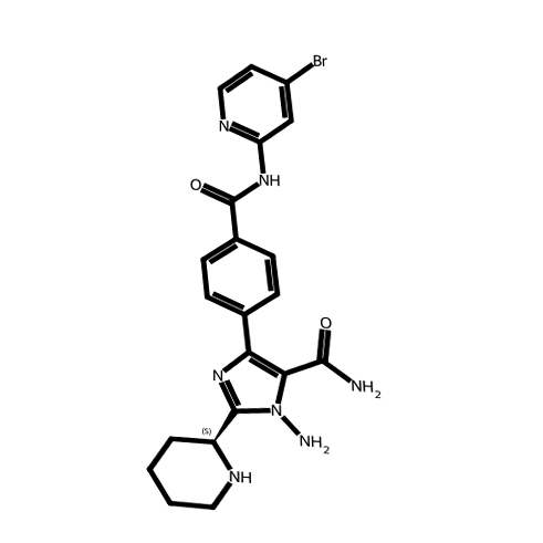 NC(=O)c1c(-c2ccc(C(=O)Nc3cc(Br)ccn3)cc2)nc([C@@H]2CCCCN2)n1N